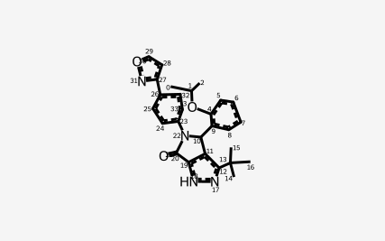 CC(C)Oc1ccccc1C1c2c(C(C)(C)C)n[nH]c2C(=O)N1c1ccc(-c2ccon2)cc1